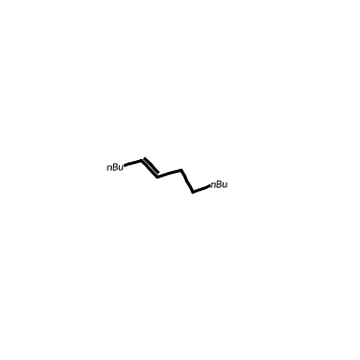 [CH2]CCCCC/C=C/CC[CH]C